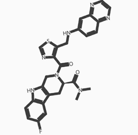 CN(C)C(=O)[C@H]1Cc2c([nH]c3ccc(F)cc23)CN1C(=O)c1ncsc1CNc1ccc2nccnc2c1